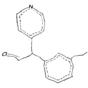 Cc1cccc(C(C=O)c2ccncc2)c1